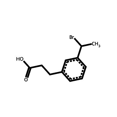 CC(Br)c1cccc(CCC(=O)O)c1